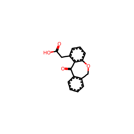 O=C(O)Cc1cccc2c1C(=O)c1ccccc1CO2